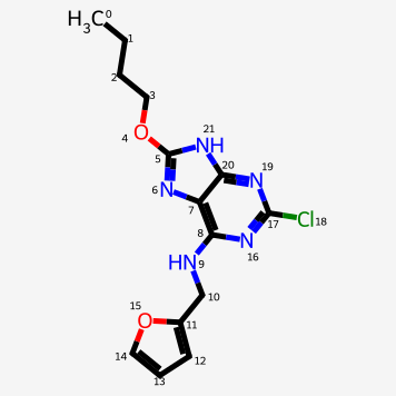 CCCCOc1nc2c(NCc3ccco3)nc(Cl)nc2[nH]1